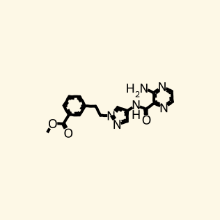 COC(=O)c1cccc(CCn2cc(NC(=O)c3nccnc3N)cn2)c1